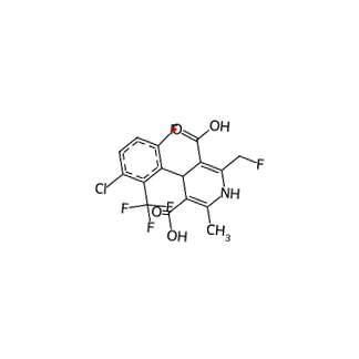 CC1=C(C(=O)O)C(c2c(F)ccc(Cl)c2C(F)(F)F)C(C(=O)O)=C(CF)N1